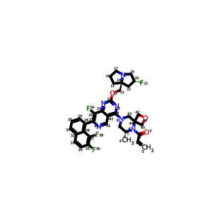 C=CC(=O)N1[C@H](C)CN(c2nc(OC[C@@]34CCCN3C[C@H](F)C4)nc3c(F)c(-c4cccc5ccc(F)c(F)c45)ncc23)CC12COC2